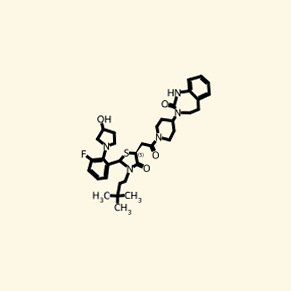 CC(C)(C)CCN1C(=O)[C@H](CC(=O)N2CCC(N3CCc4ccccc4NC3=O)CC2)SC1c1cccc(F)c1N1CCC(O)C1